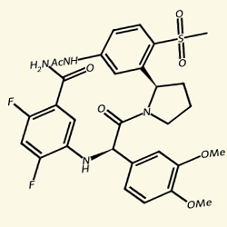 COc1ccc([C@@H](Nc2cc(C(N)=O)c(F)cc2F)C(=O)N2CCC[C@@H]2c2cc(NC(C)=O)ccc2S(C)(=O)=O)cc1OC